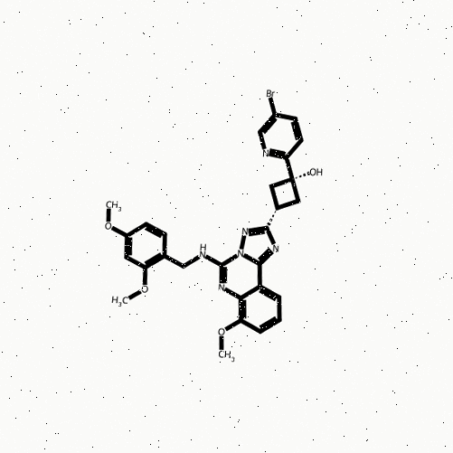 COc1ccc(CNc2nc3c(OC)cccc3c3nc([C@H]4C[C@](O)(c5ccc(Br)cn5)C4)nn23)c(OC)c1